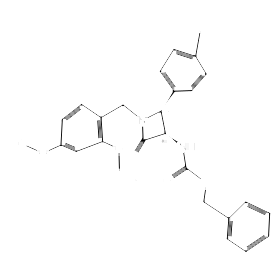 COc1ccc(CN2C(=O)[C@H](NC(=O)OCc3ccccc3)[C@@H]2c2ccc(Cl)cc2)c(OC)c1